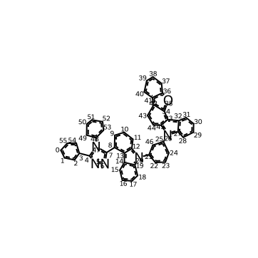 c1ccc(-c2nnc(-c3cccc4c3c3ccccc3n4-c3cccc(-n4c5ccccc5c5c6oc7ccccc7c6ccc54)c3)n2-c2ccccc2)cc1